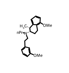 CCCN(CCc1cccc(OC)c1)[C@H]1CCc2c(OC)cccc2[C@H]1C